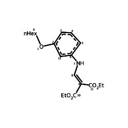 CCCCCCOc1cccc(NC=C(C(=O)OCC)C(=O)OCC)c1